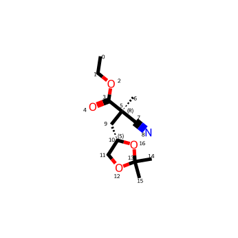 CCOC(=O)[C@@](C)(C#N)C[C@H]1COC(C)(C)O1